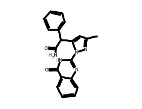 Cc1cc(C(C(N)=O)c2ccccc2)n(-c2nc3ccccc3c(=O)[nH]2)n1